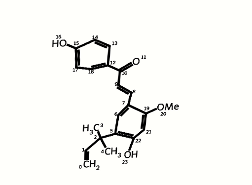 C=CC(C)(C)c1cc(/C=C/C(=O)c2ccc(O)cc2)c(OC)cc1O